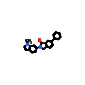 Cn1ccc2ccc(N3Cc4ccc(-c5ccccc5)cc4C3=O)cc21